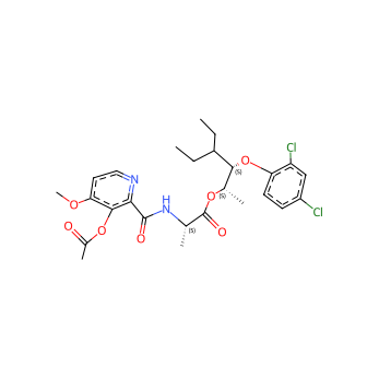 CCC(CC)[C@H](Oc1ccc(Cl)cc1Cl)[C@H](C)OC(=O)[C@H](C)NC(=O)c1nccc(OC)c1OC(C)=O